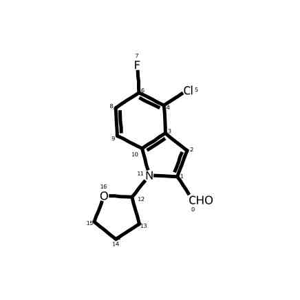 O=Cc1cc2c(Cl)c(F)ccc2n1C1C[CH]CO1